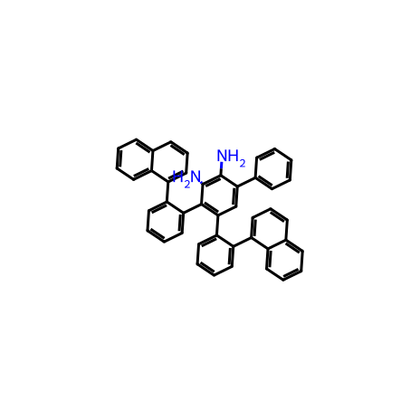 Nc1c(-c2ccccc2)cc(-c2ccccc2-c2cccc3ccccc23)c(-c2ccccc2-c2cccc3ccccc23)c1N